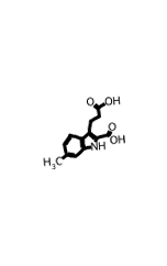 Cc1ccc2c(CCC(=O)O)c(C(=O)O)[nH]c2c1